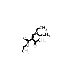 CCOC(=O)C(=CN(CC)CC)C(C)=O